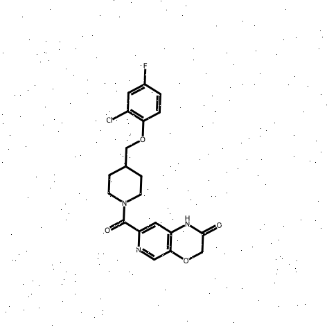 O=C1COc2cnc(C(=O)N3CCC(COc4ccc(F)cc4Cl)CC3)cc2N1